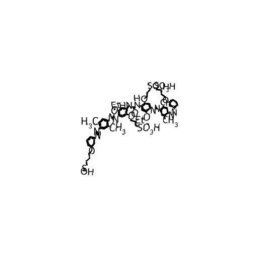 CCOc1cc(NC(=O)Nc2cc(OCC)c(N=Nc3cc(C)c(/N=N\c4cccc(OCCCCS(=O)(=O)O)c4)cc3C)cc2OCCCS(=O)(=O)O)c(OCCCS(=O)(=O)O)cc1N=Nc1cc(C)c(N=Nc2cccc(OCCCCSO)c2)cc1C